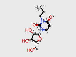 CCCn1c(=O)ccn([C@@H]2O[C@H](CO)[C@@H](O)[C@H]2O)c1=O